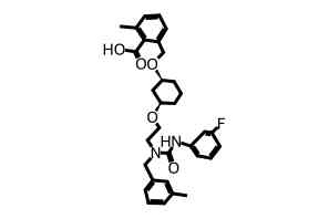 Cc1cccc(CN(CCO[C@@H]2CCC[C@H](OCc3cccc(C)c3C(=O)O)C2)C(=O)Nc2cccc(F)c2)c1